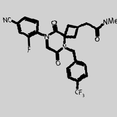 CNC(=O)CC1CC2(C1)C(=O)N(c1ccc(C#N)cc1F)CC(=O)N2Cc1ccc(C(F)(F)F)cc1